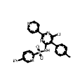 Cc1ccc(-c2c(Cl)nc(-c3ccncc3)nc2NS(=O)(=O)c2ccc(C(C)C)cn2)cc1